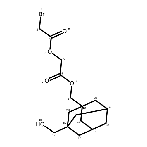 O=C(CBr)OCC(=O)OCC12CC3CC(CC(CO)(C3)C1)C2